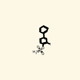 NS(=O)(=O)Oc1ccc(-c2ccccc2)cc1I